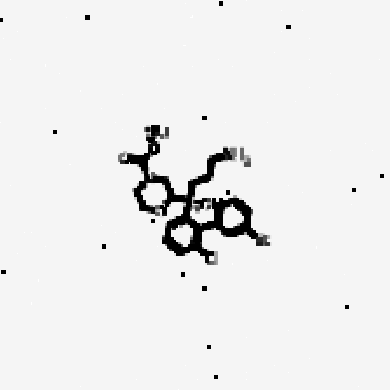 CCc1cccc(-c2c(Cl)cccc2[C@@](O)(CCCN)C2CN(C(=O)OC(C)(C)C)CCO2)c1